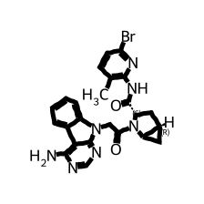 Cc1ccc(Br)nc1NC(=O)[C@@H]1C[C@H]2CC2N1C(=O)Cn1c2ccccc2c2c(N)ncnc21